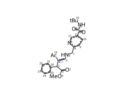 COC(=O)C(/C(=C/NCc1ccc(S(=O)(=O)NC(C)(C)C)cn1)C(C)=O)c1ccccc1